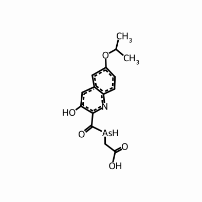 CC(C)Oc1ccc2nc(C(=O)[AsH]CC(=O)O)c(O)cc2c1